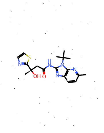 Cc1ccc2nc(NC(=O)C[C@](C)(O)c3nccs3)n(C(C)(C)C)c2n1